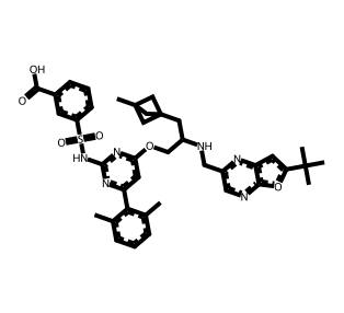 Cc1cccc(C)c1-c1cc(OCC(CC23CC(C)(C2)C3)NCc2cnc3oc(C(C)(C)C)cc3n2)nc(NS(=O)(=O)c2cccc(C(=O)O)c2)n1